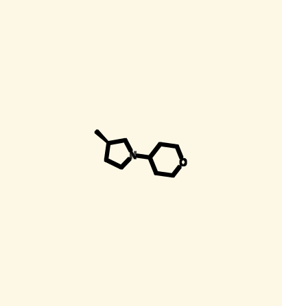 C[C@@H]1CCN(C2CCOCC2)C1